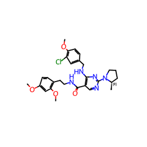 COc1ccc(CCNC(=O)c2cnc(N3CCC[C@H]3C)nc2NCc2ccc(OC)c(Cl)c2)c(OC)c1